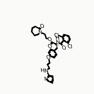 O=C(N[C@@H](Cc1ccc(OCCCNc2ccccn2)cc1)C(=O)OCCN1CCCCCC1=O)c1c(Cl)cccc1Cl